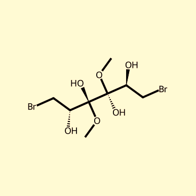 CO[C@@](O)([C@@H](O)CBr)[C@](O)(OC)[C@H](O)CBr